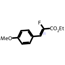 CCOC(=O)/C(F)=C/c1ccc(OC)cc1